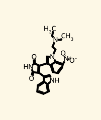 CCN(CC)CCn1cc(C2=C(c3c[nH]c4ccccc34)C(=O)NC2=O)c2cccc([N+](=O)[O-])c21